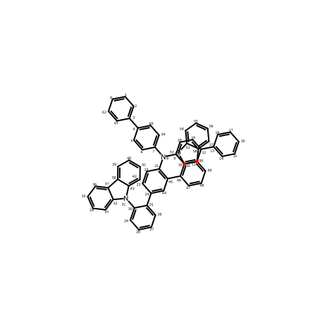 c1ccc(-c2ccc(N(c3ccc(-c4ccccc4)cc3)c3ccc(-c4ccccc4-n4c5ccccc5c5ccccc54)cc3-c3cccc4c3oc3ccccc34)cc2)cc1